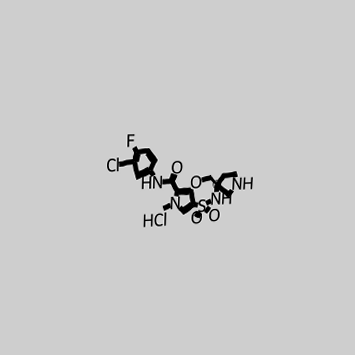 Cl.Cn1cc2c(c1C(=O)Nc1ccc(F)c(Cl)c1)OC[C@]1(CCNC1)NS2(=O)=O